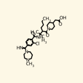 CCCCC(C(=O)N1CCC(CC(=O)O)CC1)C(C)(C)NC(=O)c1ccc(C(=N)N2CCCN(C)CC2)cc1Cl